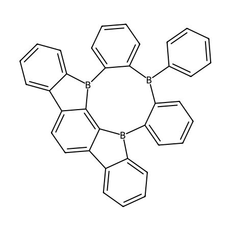 c1ccc(B2c3ccccc3B3c4ccccc4-c4ccc5c(c43)B(c3ccccc32)c2ccccc2-5)cc1